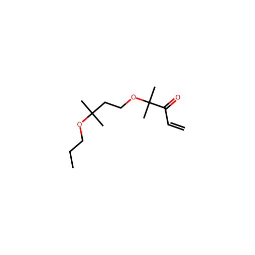 C=CC(=O)C(C)(C)OCCC(C)(C)OCCC